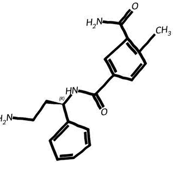 Cc1ccc(C(=O)N[C@H](CCN)c2ccccc2)cc1C(N)=O